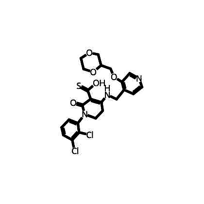 O=C1C(C(O)=S)=C(NCc2ccncc2OCC2COCCO2)CCN1c1cccc(Cl)c1Cl